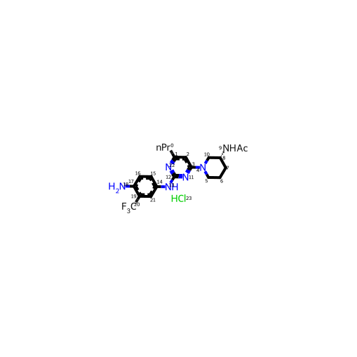 CCCc1cc(N2CCC[C@@H](NC(C)=O)C2)nc(Nc2ccc(N)c(C(F)(F)F)c2)n1.Cl